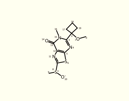 COC1(c2nc3sc([S+](C)[O-])nc3c(=O)n2C)CCC1